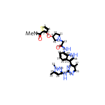 CNC(=O)c1sccc1O[C@H]1CCN(CC(=O)Nc2cccc3c(-c4nc(Nc5cc(C)n(C)n5)ncc4C)c[nH]c23)C1